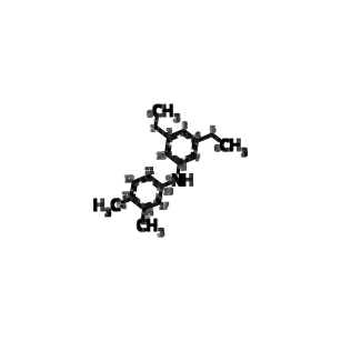 CCc1cc(CC)cc(Nc2ccc(C)c(C)c2)c1